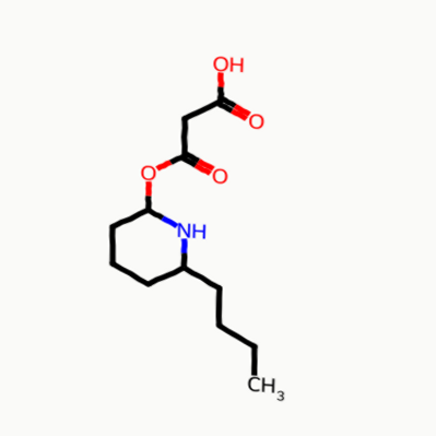 CCCCC1CCCC(OC(=O)CC(=O)O)N1